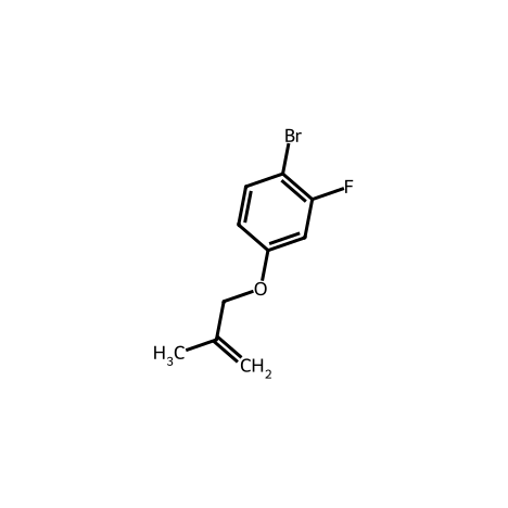 C=C(C)COc1ccc(Br)c(F)c1